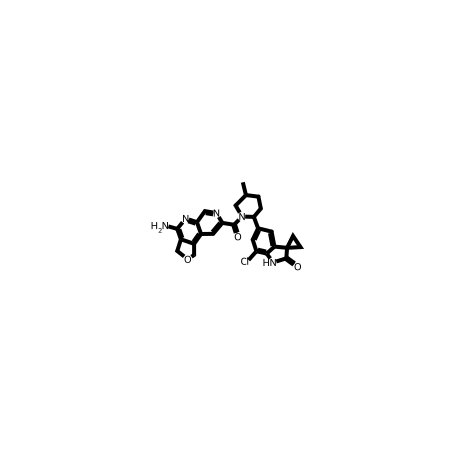 CC1CCC(c2cc(Cl)c3c(c2)C2(CC2)C(=O)N3)N(C(=O)c2cc3c4c(c(N)nc3cn2)COC4)C1